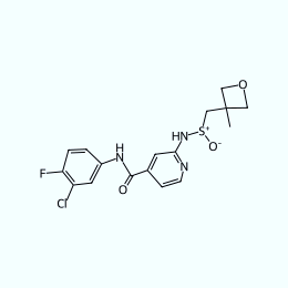 CC1(C[S+]([O-])Nc2cc(C(=O)Nc3ccc(F)c(Cl)c3)ccn2)COC1